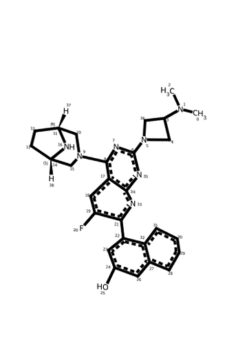 CN(C)C1CN(c2nc(N3C[C@H]4CC[C@@H](C3)N4)c3cc(F)c(-c4cc(O)cc5ccccc45)nc3n2)C1